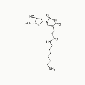 COC[C@H]1O[C@@H](n2cc(/C=C/C(=O)NCCCCCCN)c(=O)[nH]c2=O)CC1O